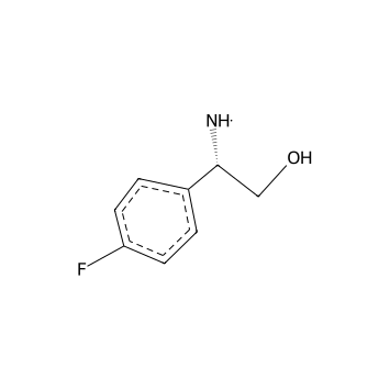 [NH][C@H](CO)c1ccc(F)cc1